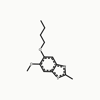 CCCCOc1cc2nc(C)sc2cc1OC